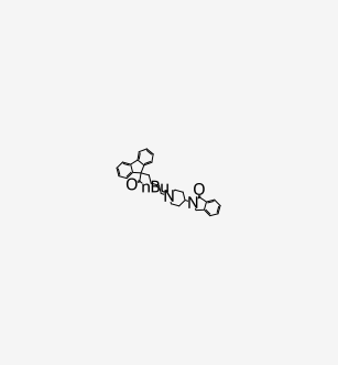 CCCCC(=O)C1(CCCCN2CCC(N3Cc4ccccc4C3=O)CC2)c2ccccc2-c2ccccc21